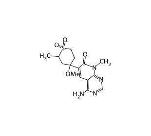 COC1(c2cc3c(N)ncnc3n(C)c2=O)CCS(=O)(=O)C(C)C1